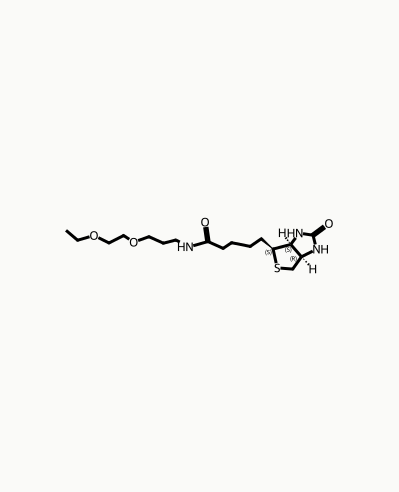 CCOCCOCCCNC(=O)CCCC[C@@H]1SC[C@@H]2NC(=O)N[C@@H]21